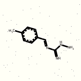 Cc1ccc(C=NC(=N)NN)cc1